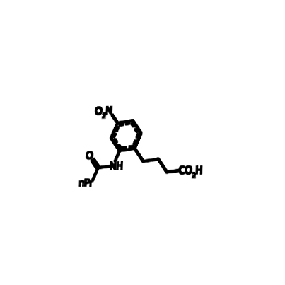 CCCC(=O)Nc1cc([N+](=O)[O-])ccc1CCCC(=O)O